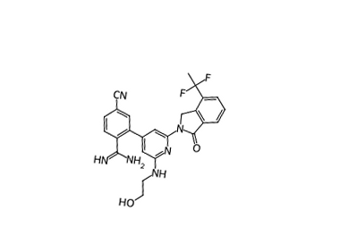 CC(F)(F)c1cccc2c1CN(c1cc(-c3cc(C#N)ccc3C(=N)N)cc(NCCO)n1)C2=O